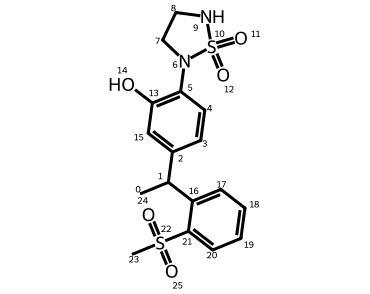 CC(c1ccc(N2CCNS2(=O)=O)c(O)c1)c1ccccc1S(C)(=O)=O